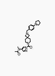 CC(=O)N(C)c1cnn(C(=O)N2CCC3(CC2)CN(Cc2ccc(N4CCCC4)cc2)C3)c1